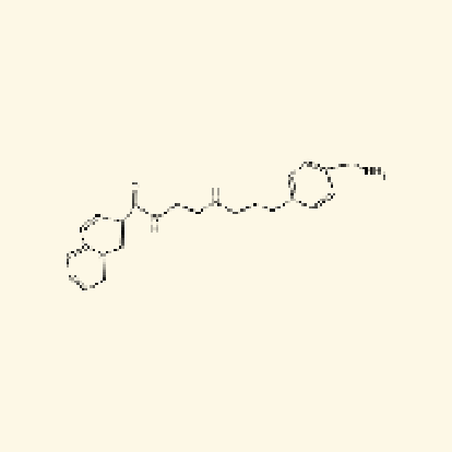 NCc1ccc(CCCNCCNC(=O)c2ccc3ccccc3c2)cc1